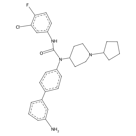 Nc1cccc(-c2ccc(N(C(=O)Nc3ccc(F)c(Cl)c3)C3CCN(C4CCCC4)CC3)cc2)c1